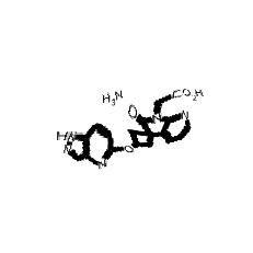 N.O=C(O)CN1C(=O)C2(CC(Oc3ccc4[nH]ncc4n3)C2)c2cccnc21